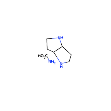 C1CC2NCCC2N1.NC(=O)O